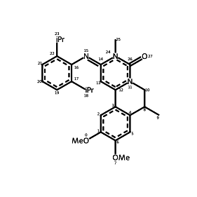 COc1cc2c(cc1OC)C(C)Cn1c-2cc(=Nc2c(C(C)C)cccc2C(C)C)n(C)c1=O